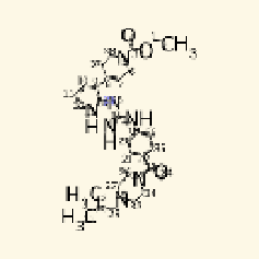 CCOC(=O)N1CC=C(c2ccc[nH]/c2=N\C(=N)Nc2ccc(C(=O)N3CCN(CC(C)C)CC3)cc2)CC1